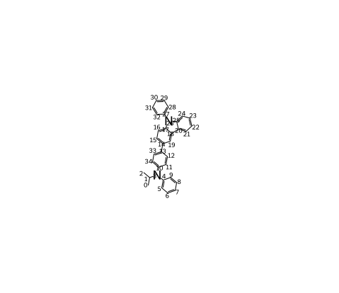 CC(C)N(c1ccccc1)c1ccc(-c2ccc3c(c2)c2ccccc2n3-c2ccccc2)cc1